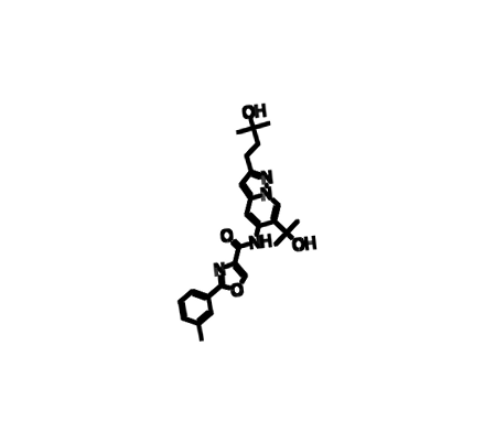 Cc1cccc(-c2nc(C(=O)Nc3cc4cc(CCC(C)(C)O)nn4cc3C(C)(C)O)co2)c1